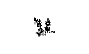 C=CC(=O)NC1CN(c2nc(Nc3cn(C4CCN(C)CC4)nc3OC)c3ncc(C)n3n2)CC1F